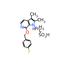 CCCn1c(C)c(C)c2ccnc(OCc3ccc(F)cc3)c21.CS(=O)(=O)O